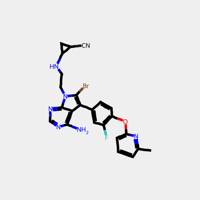 Cc1cccc(Oc2ccc(-c3c(Br)n(CCNC4CC4C#N)c4ncnc(N)c34)cc2F)n1